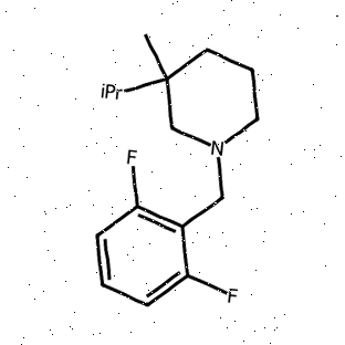 CC(C)C1(C)CCCN(Cc2c(F)cccc2F)C1